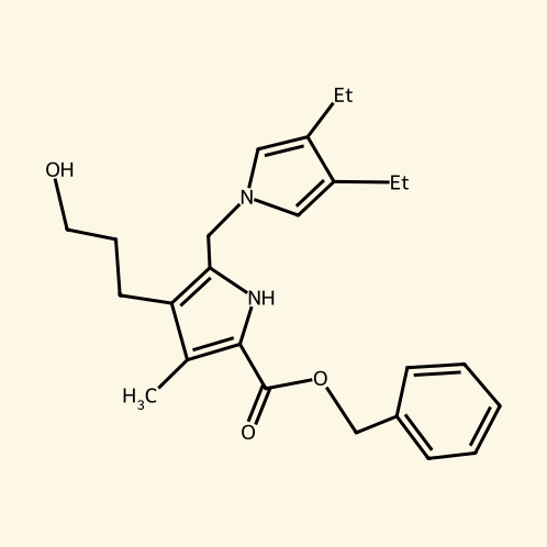 CCc1cn(Cc2[nH]c(C(=O)OCc3ccccc3)c(C)c2CCCO)cc1CC